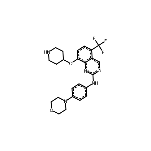 FC(F)(F)c1ccc(OC2CCNCC2)c2nc(Nc3ccc(N4CCOCC4)cc3)ncc12